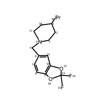 CC(C)C1CCN(Cc2ccc3c(c2)OC(F)(F)O3)CC1